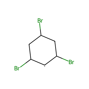 BrC1[CH]C(Br)CC(Br)C1